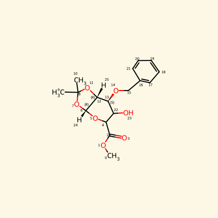 COC(=O)C1O[C@@H]2OC(C)(C)O[C@@H]2[C@@H](OCc2ccccc2)C1O